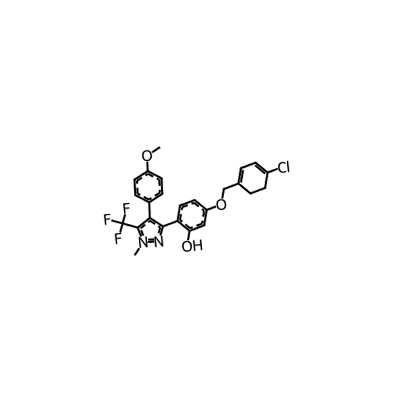 COc1ccc(-c2c(-c3ccc(OCC4=CC=C(Cl)CC4)cc3O)nn(C)c2C(F)(F)F)cc1